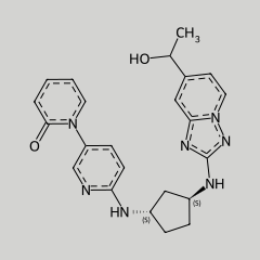 CC(O)c1ccn2nc(N[C@H]3CC[C@H](Nc4ccc(-n5ccccc5=O)cn4)C3)nc2c1